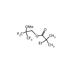 CCC(C)(C)C(=O)OCC(OC)(C(F)(F)F)C(F)(F)F